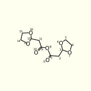 O=C(CC1OCCO1)OC(=O)CC1OCCO1